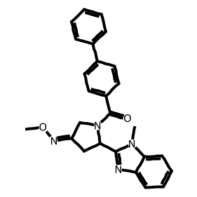 CON=C1CC(c2nc3ccccc3n2C)N(C(=O)c2ccc(-c3ccccc3)cc2)C1